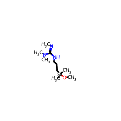 CN=C(NCCC[Si](C)(C)OC)N(C)C